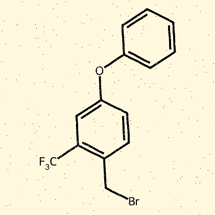 FC(F)(F)c1cc(Oc2ccccc2)ccc1CBr